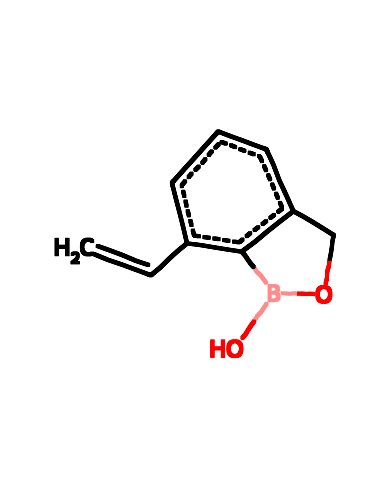 C=Cc1cccc2c1B(O)OC2